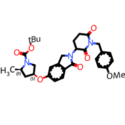 COc1ccc(CN2C(=O)CCC(N3Cc4cc(O[C@H]5C[C@@H](C)N(C(=O)OC(C)(C)C)C5)ccc4C3=O)C2=O)cc1